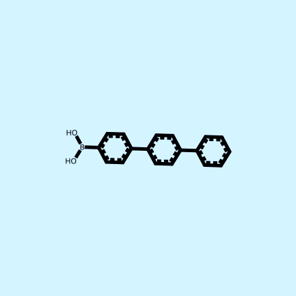 OB(O)c1ccc(-c2ccc(-c3ccccc3)cc2)cc1